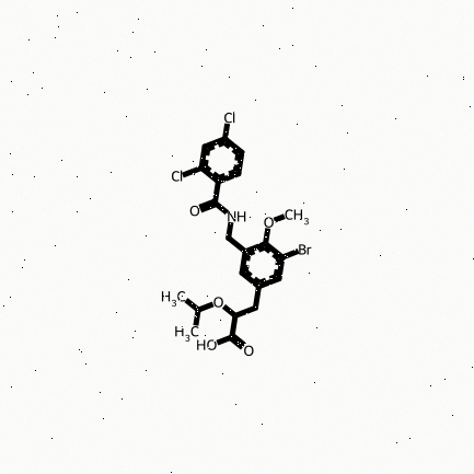 COc1c(Br)cc(CC(OC(C)C)C(=O)O)cc1CNC(=O)c1ccc(Cl)cc1Cl